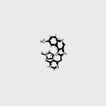 Cc1cc(Cc2nc3cnc4ccc(C#N)cc4c3n2[C@@H]2CCN(C)C2)ncn1